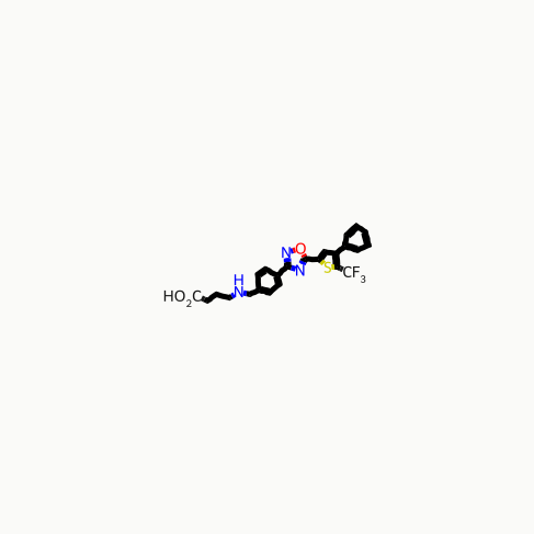 O=C(O)CCCNCc1ccc(-c2noc(-c3cc(-c4ccccc4)c(C(F)(F)F)s3)n2)cc1